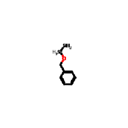 [SiH3][SiH2]OCc1ccccc1